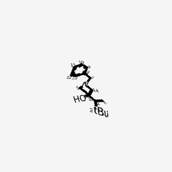 C[C](C(C)(C)C)C1(O)CN(Cc2ccccc2)C1